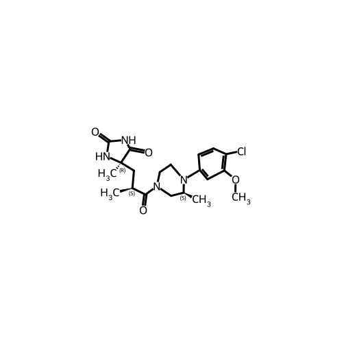 COc1cc(N2CCN(C(=O)[C@@H](C)C[C@@]3(C)NC(=O)NC3=O)C[C@@H]2C)ccc1Cl